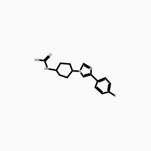 O=C(O)NC1CCC(n2cnc(-c3ccc(F)cc3)c2)CC1